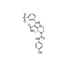 CS(=O)(=O)c1cccc(-c2nn3c(c2C(N)=O)CN(C(=O)Nc2ccc(C#N)cc2)CC3)c1